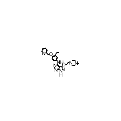 CCc1cc(Nc2ncnc3[nH]nc(OCCN4CCN(C)CC4)c23)ccc1OCc1ccccn1